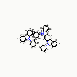 C1=C2C(Cc3c1n(-c1ccccc1)c1ccccc31)c1ccccc1N2c1cccc(-c2ccccc2-n2c3ccccc3c3ccccc32)c1